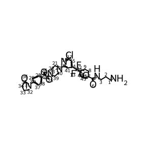 NCCCNC(=O)C12CCC(C(F)(F)c3cc(Cl)nc(N4CCN(S(=O)(=O)c5ccc(N6CCCC6=O)cc5)CC4)c3)(CC1)CC2